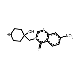 O=c1c2ccc([N+](=O)[O-])cc2ncn1CC1(O)CCNCC1